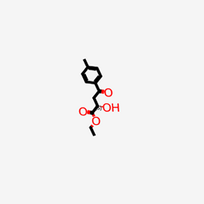 CCOC(=O)[C@@H](O)CC(=O)c1ccc(C)cc1